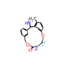 Cc1ccc2cc1C(=N)c1cccc(c1)COC(=O)NCC(F)(F)CO2